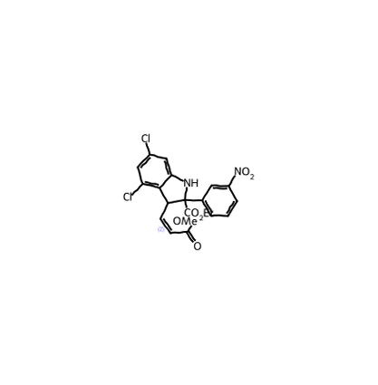 CCOC(=O)C1(c2cccc([N+](=O)[O-])c2)Nc2cc(Cl)cc(Cl)c2C1/C=C\C(=O)OC